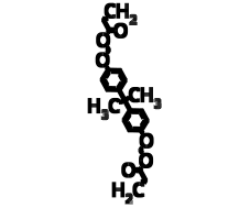 C=CC(=O)OCOc1ccc(C(C)(C)c2ccc(OCOC(=O)C=C)cc2)cc1